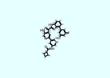 O=C(Nc1cncc(-c2cc3c(-c4nc5c(-c6cc(O)cc(F)c6)cccc5[nH]4)n[nH]c3cn2)c1)C1CCC1